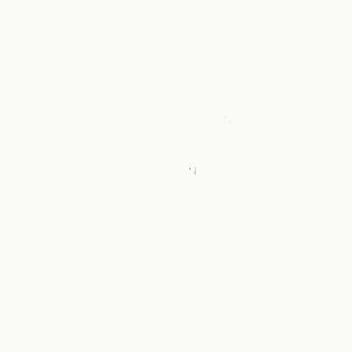 CC(C)(C)OC(=O)n1c(-c2ccsc2)cc2sccc21